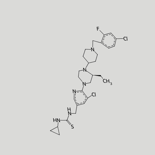 CC[C@H]1CN(c2ncc(CNC(=S)NC3CC3)cc2Cl)CCN1C1CCN(Cc2ccc(Cl)cc2F)CC1